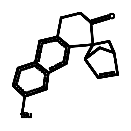 CC(C)(C)c1ccc2cc3c(cc2c1)C1(CC2C=CC1C2)C(=O)CC3